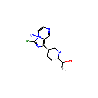 C[C@H](O)[C@@H]1CC[C@@H](C2=C3C=NC=C[N+]3(N)C(Br)=N2)CN1